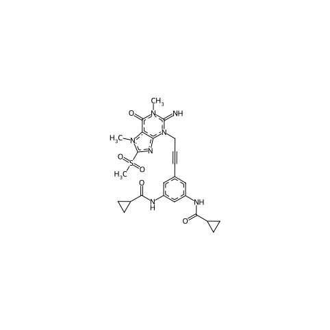 Cn1c(=O)c2c(nc(S(C)(=O)=O)n2C)n(CC#Cc2cc(NC(=O)C3CC3)cc(NC(=O)C3CC3)c2)c1=N